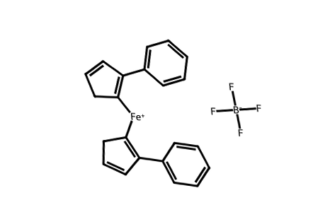 C1=CC(c2ccccc2)=[C]([Fe+][C]2=C(c3ccccc3)C=CC2)C1.F[B-](F)(F)F